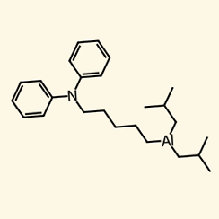 CC(C)[CH2][Al]([CH2]CCCCN(c1ccccc1)c1ccccc1)[CH2]C(C)C